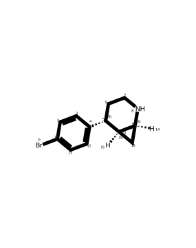 Brc1ccc([C@@H]2CCN[C@H]3C[C@H]32)cc1